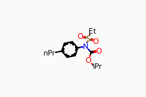 CCCc1ccc(N(C(=O)OC(C)C)S(=O)(=O)CC)cc1